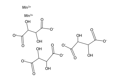 O=C([O-])C(O)C(O)C(=O)[O-].O=C([O-])C(O)C(O)C(=O)[O-].O=C([O-])C(O)C(O)C(=O)[O-].[Mn+3].[Mn+3]